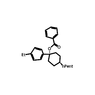 CCCCC[C@H]1CC[C@@](OC(=O)c2ccccc2)(c2ccc(CC)cc2)CC1